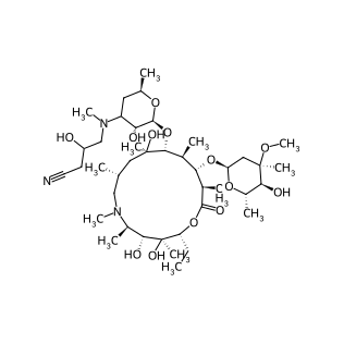 CC[C@H]1OC(=O)[C@H](C)[C@@H](O[C@H]2C[C@@](C)(OC)[C@@H](O)[C@H](C)O2)[C@H](C)[C@@H](O[C@@H]2O[C@H](C)CC(N(C)CC(O)CC#N)[C@H]2O)[C@](C)(O)C[C@@H](C)CN(C)[C@H](C)[C@@H](O)[C@]1(C)O